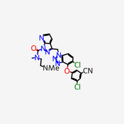 CNCCN(C)C(=O)n1nc(Cn2nnc3c(Oc4cc(Cl)cc(C#N)c4)c(Cl)ccc32)c2cccnc21